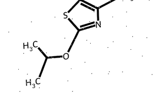 Cc1csc(OC(C)C)n1